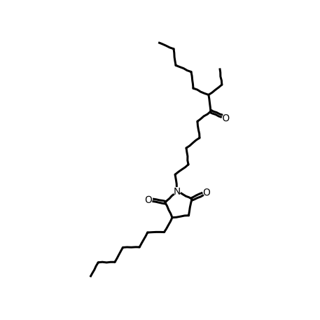 CCCCCCCC1CC(=O)N(CCCCCC(=O)C(CC)CCCCC)C1=O